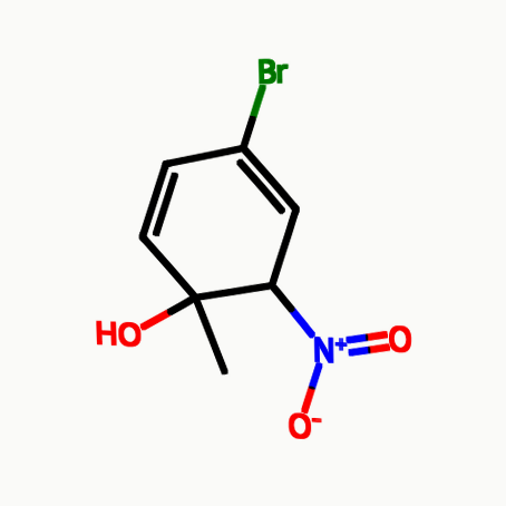 CC1(O)C=CC(Br)=CC1[N+](=O)[O-]